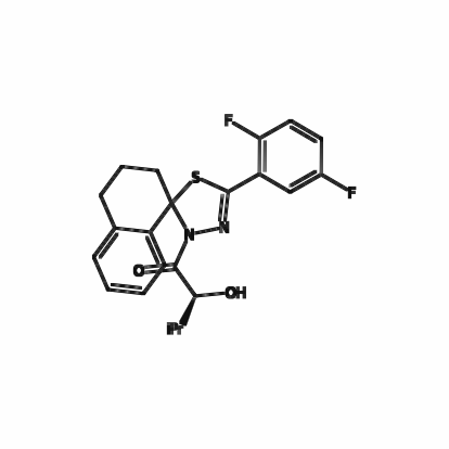 CC(C)[C@H](O)C(=O)N1N=C(c2cc(F)ccc2F)SC12CCCc1ccccc12